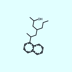 CCCC(CC(C)O)CC(C)c1cccc2ccccc12